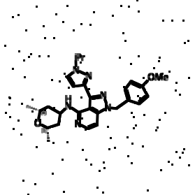 COc1ccc(Cn2nc(-c3ccn(C(C)C)n3)c3c(NC4C[C@@H](C)O[C@@H](C)C4)nccc32)cc1